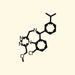 COCc1nnc2n1-c1c(Cl)cccc1C(c1cccc(C(C)C)c1)=NC2